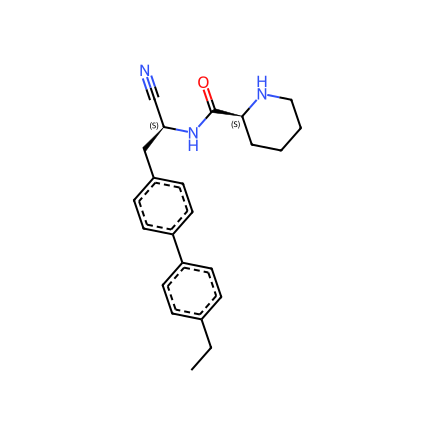 CCc1ccc(-c2ccc(C[C@@H](C#N)NC(=O)[C@@H]3CCCCN3)cc2)cc1